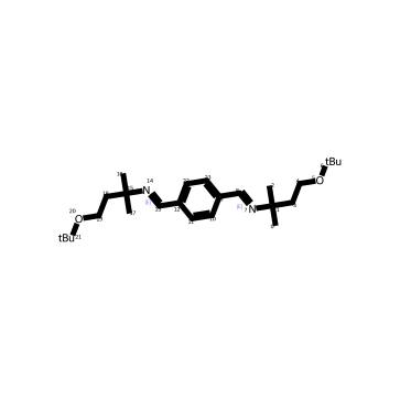 CC(C)(CCOC(C)(C)C)/N=C/c1ccc(/C=N/C(C)(C)CCOC(C)(C)C)cc1